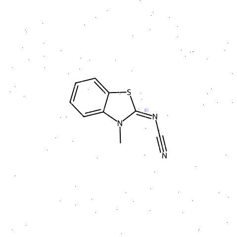 Cn1/c(=N\C#N)sc2ccccc21